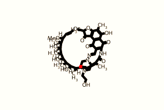 CO[C@H]1/C=C/O[C@@]2(C)Oc3c(C)c(O)c4c(c3C2=O)C(=O)C(/C=N/N2CCN(CCO)CC2)=C(NC(=O)/C(C)=C\C=C\[C@H](C)[C@H](O)[C@@H](C)[C@@H](O)[C@@H](C)[C@H](O)[C@@H]1C)C4=O